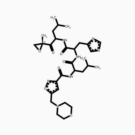 CC(C)CC(NC(=O)c1cc(CN2CCOCC2)on1)C(=O)NC(Cc1cscn1)C(=O)NC(CC(C)C)C(=O)[C@@]1(C)CO1